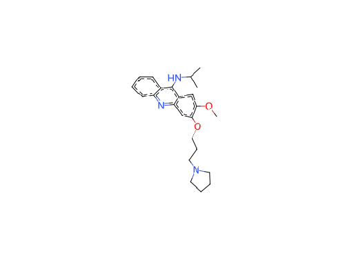 COc1cc2c(NC(C)C)c3ccccc3nc2cc1OCCCN1CCCC1